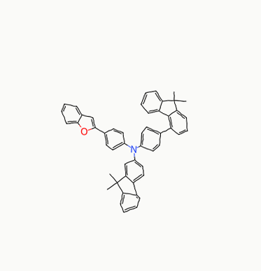 CC1(C)c2ccccc2-c2ccc(N(c3ccc(-c4cc5ccccc5o4)cc3)c3ccc(-c4cccc5c4-c4ccccc4C5(C)C)cc3)cc21